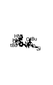 CC(C)(C)OC(=O)NC(c1cccc(-c2cnc3c(n2)c(C(=O)C(C)(C)C)cn3COCC[Si](C)(C)C)c1)C1(C)CCNC1